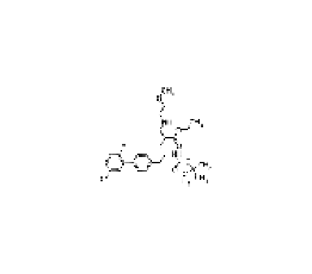 CCOC(=O)[C@H](CNCCOC)C[C@@H](Cc1ccc(-c2cc(Cl)ccc2F)cc1)NC(=O)OC(C)(C)C